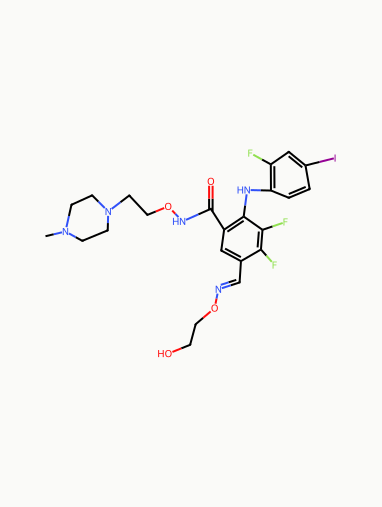 CN1CCN(CCONC(=O)c2cc(C=NOCCO)c(F)c(F)c2Nc2ccc(I)cc2F)CC1